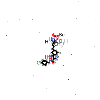 CC(C)(C)OC(=O)NC(C(=O)O)C(C)(C)CCCc1cc(F)c2ncc(C(=O)NCc3ccc(Cl)cc3)c(O)c2c1